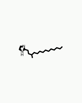 CCCCCCCCCCCC(C)CCc1ncc[nH]1